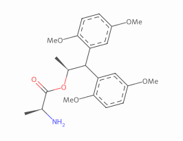 COc1ccc(OC)c(C(c2cc(OC)ccc2OC)[C@H](C)OC(=O)[C@H](C)N)c1